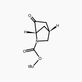 CC(C)(C)OC(=O)N1C[C@H]2CC(=O)[C@@H]1C2